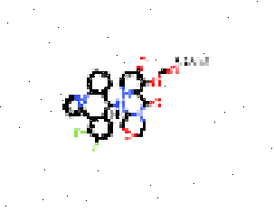 CCOC(=O)OCOc1c2n(ccc1=O)N(C1c3ccccc3-n3cccc3-c3c1ccc(F)c3F)[C@@H]1COCCN1C2=O